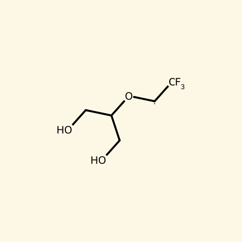 OCC(CO)O[CH]C(F)(F)F